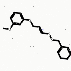 COc1cccc(SC/C=C/SSCC2=CCCC=C2)c1